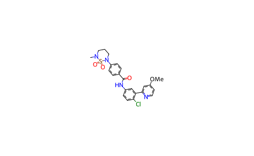 COc1ccnc(-c2cc(NC(=O)c3ccc(N4CCCN(C)S4(=O)=O)cc3)ccc2Cl)c1